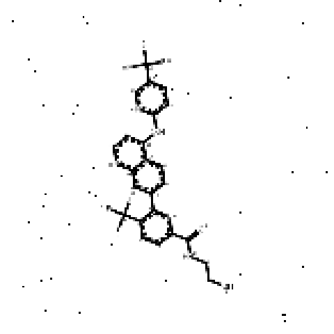 O=C(NCCO)c1ccc(C(F)(F)F)c(-c2ccc3c(Nc4ccc(C(F)(F)F)cn4)ccnc3c2)n1